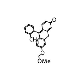 COCOc1ccc2c(c1)CC1=CC(=O)C=CC1=C2c1ccccc1C